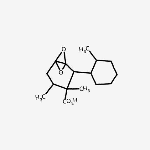 CC1CCCCC1C1C(C)(C(=O)O)C(C)CC23OC12O3